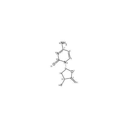 C=C1O[C@@H](n2ccc(N)nc2=O)CC1F